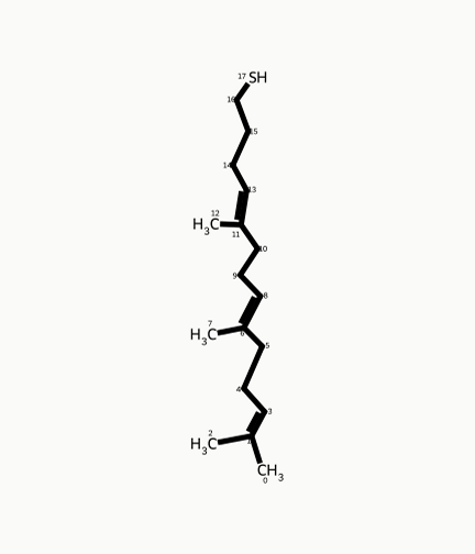 CC(C)=CCC/C(C)=C/CC/C(C)=C/CCCS